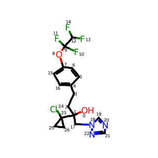 OC(CCc1ccc(OC(F)(F)C(F)F)cc1)(Cn1cncn1)C1(Cl)CC1